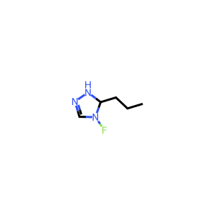 CCCC1NN=CN1F